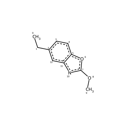 CCc1ccc2oc(OC)nc2c1